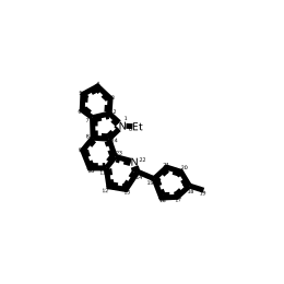 CCn1c2ccccc2c2ccc3ccc(-c4ccc(C)cc4)nc3c21